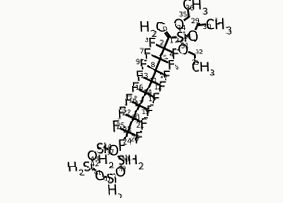 C=C(C(F)(F)C(F)(F)C(F)(F)C(F)(F)C(F)(F)C(F)(F)C(F)(F)C(F)(F)F)[Si](OCC)(OCC)OCC.O1[SiH2]O[SiH2]O[SiH2]O[SiH2]1